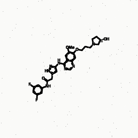 COc1cc2c(Nc3cc(CC(=O)Nc4cc(F)cc(F)c4)[nH]n3)ncnc2cc1OCCCN1CC[C@H](O)C1